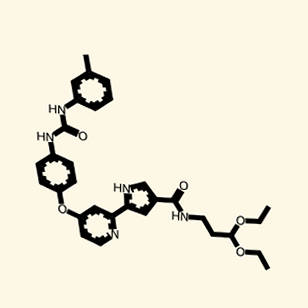 CCOC(CCNC(=O)c1c[nH]c(-c2cc(Oc3ccc(NC(=O)Nc4cccc(C)c4)cc3)ccn2)c1)OCC